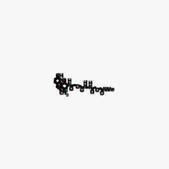 CNC(=O)COCC(=O)NCNC(=O)COCC(=O)N[C@H]1CC[C@@]2(O)C3Cc4ccc(O)c5c4C2(CCN3C)[C@H]1O5